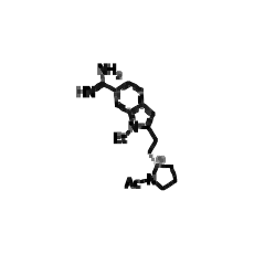 CCn1c(CC[C@@H]2CCCN2C(C)=O)cc2ccc(C(=N)N)cc21